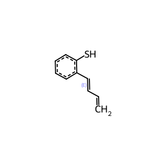 C=C/C=C/c1ccccc1S